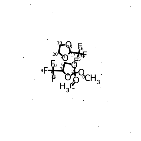 COC1(OC)OCC(C(F)(F)F)O1.FC(F)(F)C1OCCO1